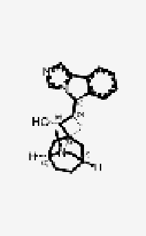 CN1C[C@H]2CC[C@H]1C[C@@]1(C2)C[C@@H]([C@@H]2c3ccccc3-c3cncn32)[C@H]1O